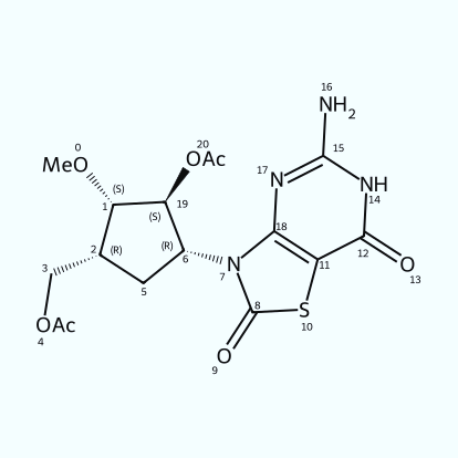 CO[C@H]1[C@@H](COC(C)=O)C[C@@H](n2c(=O)sc3c(=O)[nH]c(N)nc32)[C@@H]1OC(C)=O